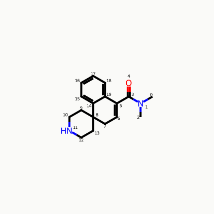 CN(C)C(=O)C1=CCC2(CCNCC2)c2ccccc21